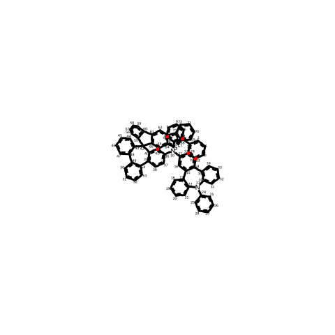 c1ccc(-c2ccccc2N(c2ccc3c(c2)-c2ccccc2N(c2ccccc2)c2ccccc2-3)c2ccc3c(c2)C2(c4ccccc4-c4ccccc4-3)c3ccccc3-c3cc4c(cc32)sc2ccccc24)cc1